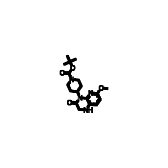 COc1ccc2c(n1)N(C1CCN(C(=O)OC(C)(C)C)CC1)C(=O)CN2